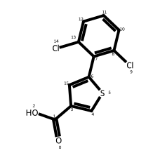 O=C(O)c1csc(-c2c(Cl)cccc2Cl)c1